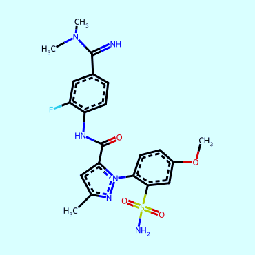 COc1ccc(-n2nc(C)cc2C(=O)Nc2ccc(C(=N)N(C)C)cc2F)c(S(N)(=O)=O)c1